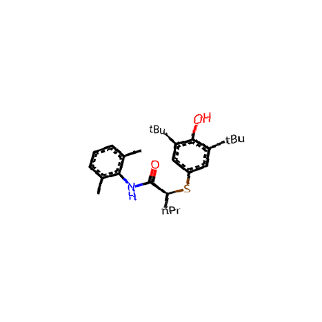 CCCC(Sc1cc(C(C)(C)C)c(O)c(C(C)(C)C)c1)C(=O)Nc1c(C)cccc1C